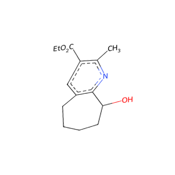 CCOC(=O)c1cc2c(nc1C)C(O)CCCC2